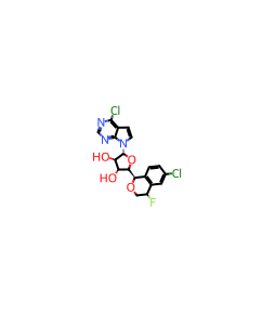 O[C@@H]1[C@H](O)C([C@@H]2OC[C@H](F)c3cc(Cl)ccc32)O[C@H]1n1ccc2c(Cl)ncnc21